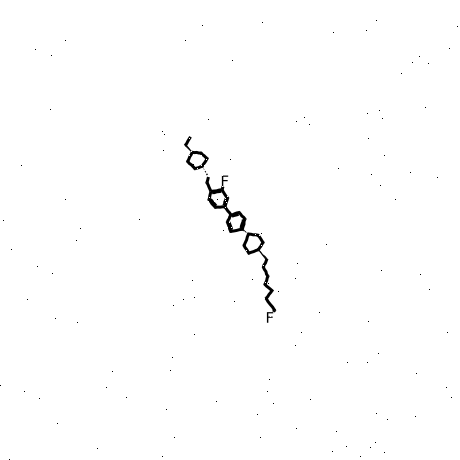 CC[C@H]1CC[C@H](CCc2ccc(-c3ccc([C@H]4CC[C@H](CCCCCCCF)CC4)cc3)cc2F)CC1